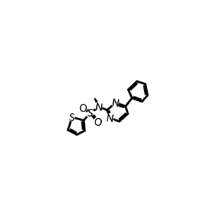 CN(c1nccc(-c2ccccc2)n1)S(=O)(=O)c1cccs1